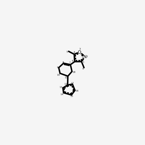 Cc1noc(C)c1C1=CCCC(c2ccccc2)C1